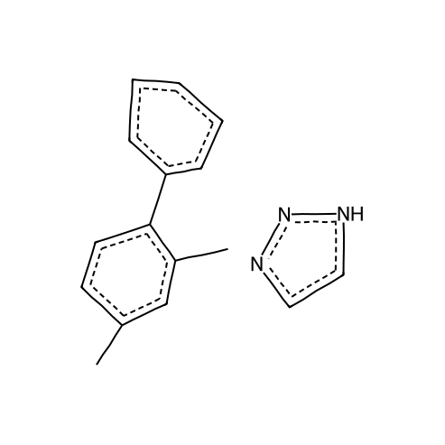 Cc1ccc(-c2ccccc2)c(C)c1.c1c[nH]nn1